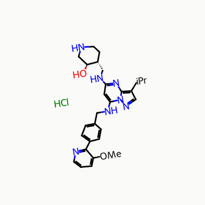 COc1cccnc1-c1ccc(CNc2cc(NC[C@H]3CCNC[C@@H]3O)nc3c(C(C)C)cnn23)cc1.Cl